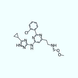 COOSNCCc1cc(Nc2n[nH]c(C3CC3)n2)nc(-c2ccccc2Cl)n1